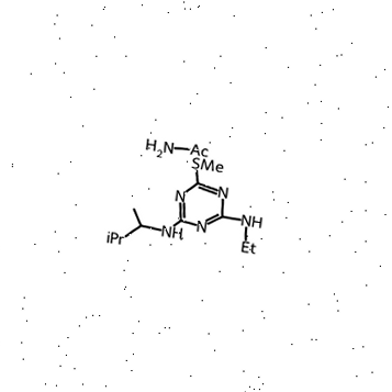 CC(N)=O.CCNc1nc(NC(C)C(C)C)nc(SC)n1